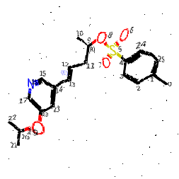 Cc1ccc(S(=O)(=O)O[C@H](C)C/C=C/c2cncc(OC(C)C)c2)cc1